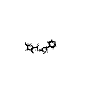 CC1=C(C(=O)Nc2cc(-c3ccncc3)no2)SC(C)C1